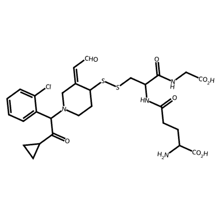 NC(CCC(=O)NC(CSSC1CCN(C(C(=O)C2CC2)c2ccccc2Cl)C/C1=C/C=O)C(=O)NCC(=O)O)C(=O)O